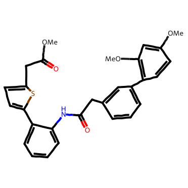 COC(=O)Cc1ccc(-c2ccccc2NC(=O)Cc2cccc(-c3ccc(OC)cc3OC)c2)s1